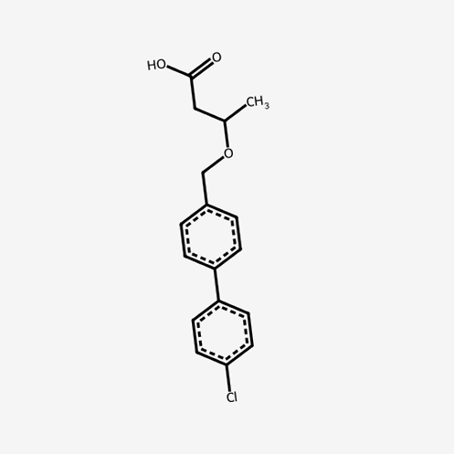 CC(CC(=O)O)OCc1ccc(-c2ccc(Cl)cc2)cc1